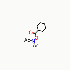 CC(=O)N(OC(=O)C1CCCCC1)C(C)=O